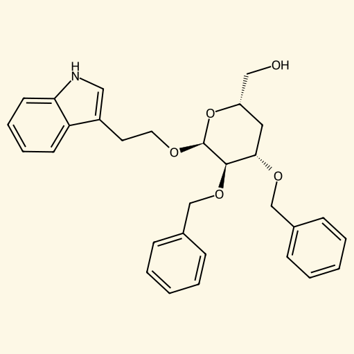 OC[C@@H]1C[C@H](OCc2ccccc2)[C@@H](OCc2ccccc2)[C@@H](OCCc2c[nH]c3ccccc23)O1